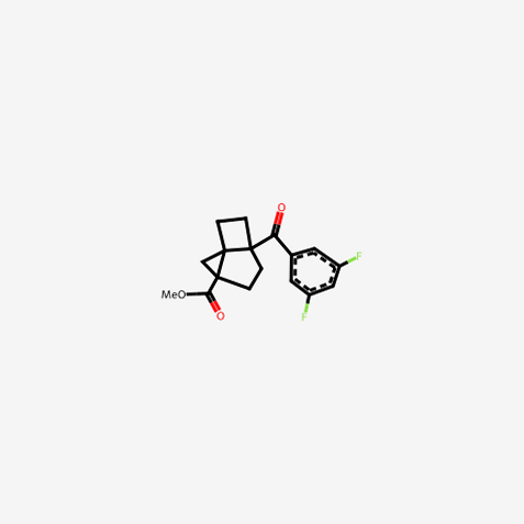 COC(=O)C12CCC3(C(=O)c4cc(F)cc(F)c4)CCC13C2